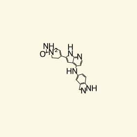 NC(=O)N1CC=C(c2cc3c(Nc4ccc5[nH]ncc5c4)ccnc3[nH]2)CC1